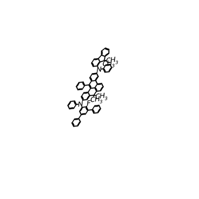 CC1(C)c2ccccc2-c2cccc(N(c3ccccc3)c3ccc4c(-c5ccccc5)c5c6c(cccc6c4c3)C(C)(C)c3cc(N(c4ccccc4)c4cc(-c6ccccc6)cc(-c6ccccc6)c4F)ccc3-5)c21